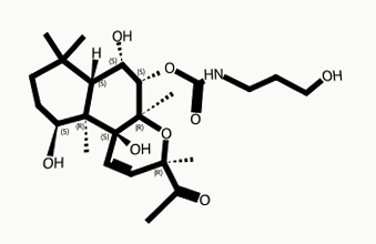 CC(=O)[C@@]1(C)C=C[C@]2(O)[C@@]3(C)[C@@H](O)CCC(C)(C)[C@@H]3[C@H](O)[C@H](OC(=O)NCCCO)[C@@]2(C)O1